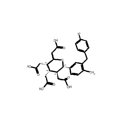 Cc1ccc([C@H]2OC(CC(=O)O)[C@@H](CC(=O)O)[C@@H](CC(=O)O)[C@@H]2CC(=O)O)cc1Cc1ccc(Cl)cc1